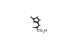 CC1C=C(C[C@H](C)C(=O)O)CC1